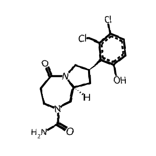 NC(=O)N1CCC(=O)N2C[C@@H](c3c(O)ccc(Cl)c3Cl)C[C@H]2C1